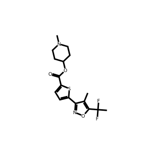 Cc1c(-c2ccc(C(=O)OC3CCN(C)CC3)s2)noc1C(C)(F)F